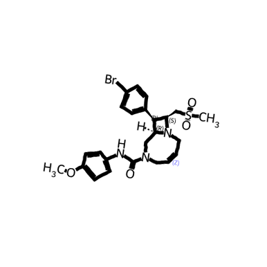 COc1ccc(NC(=O)N2C/C=C\CN3[C@H](CS(C)(=O)=O)[C@H](c4ccc(Br)cc4)[C@@H]3C2)cc1